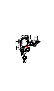 CCCNC[C@]1(O)[C@H](C)O[C@@H](O[C@H]2[C@H](C)[C@@H](O[C@@H]3O[C@H](C)C[C@H](N(C)Cc4ccc(OC)cc4)[C@H]3Oc3ccccc3)[C@](C)(O)C[C@@H](C)CN[C@H](C)[C@@H](O)[C@](C)(O)[C@@H](CC)OC(=O)[C@@H]2C)C[C@@]1(C)OC